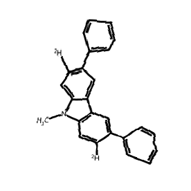 [2H]c1cc2c(cc1-c1ccccc1)c1cc(-c3ccccc3)c([2H])cc1n2C